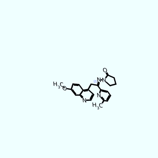 COc1ccc2c(C/C(=N/N3CCCC3=O)c3cccc(C)n3)ccnc2c1